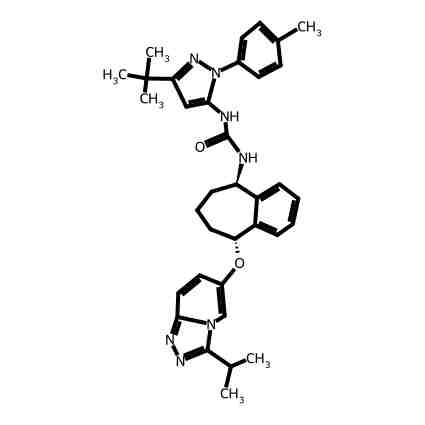 Cc1ccc(-n2nc(C(C)(C)C)cc2NC(=O)N[C@@H]2CCC[C@@H](Oc3ccc4nnc(C(C)C)n4c3)c3ccccc32)cc1